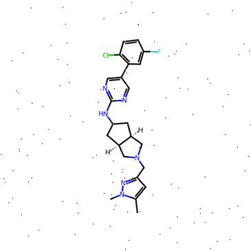 Cc1cc(CN2C[C@H]3CC(Nc4ncc(-c5cc(F)ccc5Cl)cn4)C[C@H]3C2)nn1C